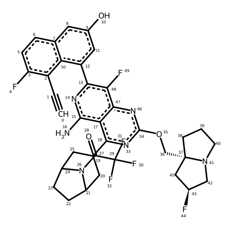 C#Cc1c(F)ccc2cc(O)cc(-c3nc(N)c4c(C5CC6CCC(C5)N6C(=O)C(F)(F)F)nc(OC[C@]56CCCN5C[C@@H](F)C6)nc4c3F)c12